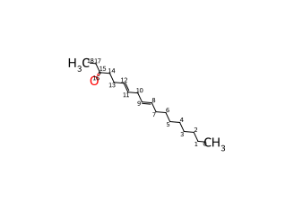 CCCCCCCCC=CCC=CCCC(=O)CC